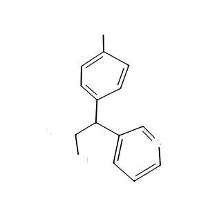 CCC(c1ccc(F)cc1)c1cccnc1.N